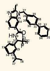 Cc1nc2ccc(C(=O)N[C@H](c3cccc(C(C)C)c3)C(F)(F)F)cc2n1Cc1ccc(-c2ccccc2)cc1